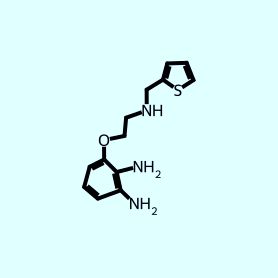 Nc1cccc(OCCNCc2cccs2)c1N